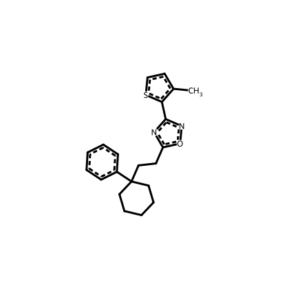 Cc1ccsc1-c1noc(CCC2(c3ccccc3)CCCCC2)n1